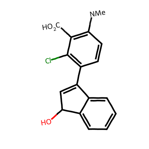 CNc1ccc(C2=CC(O)c3ccccc32)c(Cl)c1C(=O)O